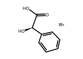 O=C(O)[C@H](O)c1ccccc1.[Rh]